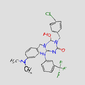 CN(C)c1ccc(CN2C(Nc3cccc(C(F)(F)F)c3)=NC(=O)N(Cc3ccc(Cl)cc3)C2O)cc1